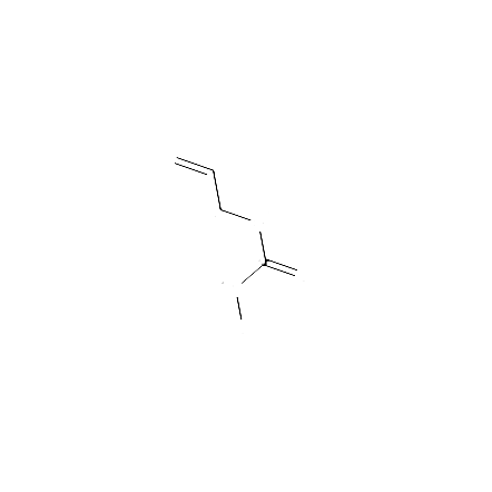 C=CCOC(=O)SS